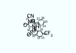 N#CCNC(=O)[C@H](CS(=O)(=O)Cc1ccc(C(F)(F)F)cc1F)NC(=O)c1ccccc1